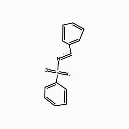 O=S(=O)(/N=C/c1ccccc1)c1ccccc1